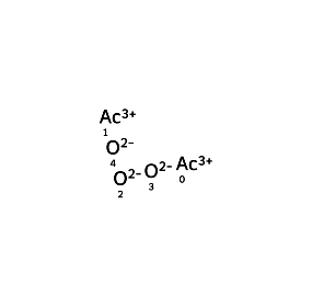 [Ac+3].[Ac+3].[O-2].[O-2].[O-2]